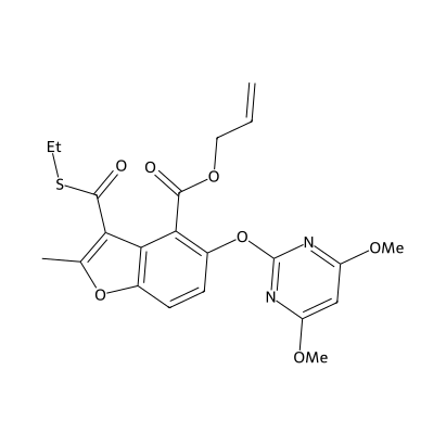 C=CCOC(=O)c1c(Oc2nc(OC)cc(OC)n2)ccc2oc(C)c(C(=O)SCC)c12